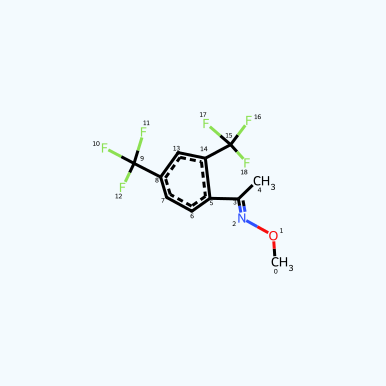 CO/N=C(\C)c1ccc(C(F)(F)F)cc1C(F)(F)F